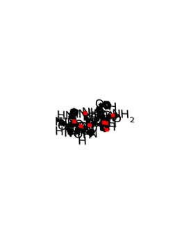 CNCC(=O)C[C@@H](Cc1c[nH]cn1)C(=O)N[C@@H](Cc1c[nH]c2ccccc12)C(=O)C[C@@H](CO)C(=O)N[C@@H](Cc1cnc[nH]1)C(=O)C[C@H](CCCNC(=N)N)C(=O)N[C@@H](Cc1c[nH]c2ccccc12)C(=O)C[C@@H](Cc1ccc(C(=O)c2ccccc2)cc1)C(=O)N1CCC[C@H]1C(=O)NNC(N)=O